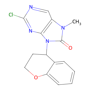 Cn1c(=O)n(C2CCOc3ccccc32)c2nc(Cl)ncc21